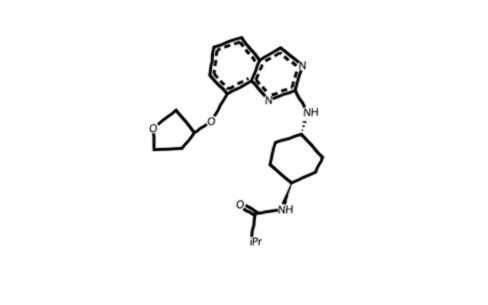 CC(C)C(=O)N[C@H]1CC[C@H](Nc2ncc3cccc(OC4CCOC4)c3n2)CC1